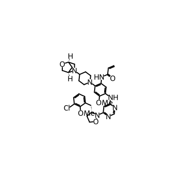 C=CC(=O)Nc1cc(Nc2cc(N3OCC[C@@H]3Cc3cccc(Cl)c3OC)ncn2)c(OC)cc1N1CCC(N2C[C@H]3C[C@@H]2CO3)CC1